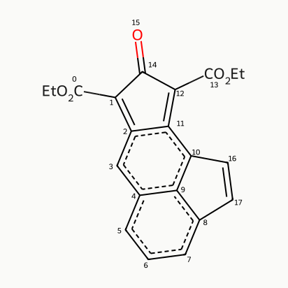 CCOC(=O)C1=c2cc3cccc4c3c(c2=C(C(=O)OCC)C1=O)C=C4